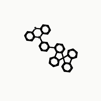 c1cc(-c2cccc3c2-c2ccccc2C32c3ccccc3-c3ccccc32)cc(N2c3ccccc3Sc3ccccc32)c1